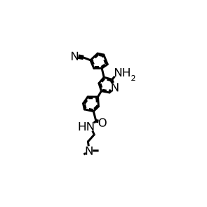 CN(C)CCNC(=O)c1cccc(-c2cnc(N)c(-c3cccc(C#N)c3)c2)c1